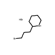 Br.BrCCCC1CCCCN1